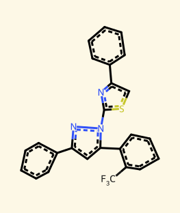 FC(F)(F)c1ccccc1-c1cc(-c2ccccc2)nn1-c1nc(-c2ccccc2)cs1